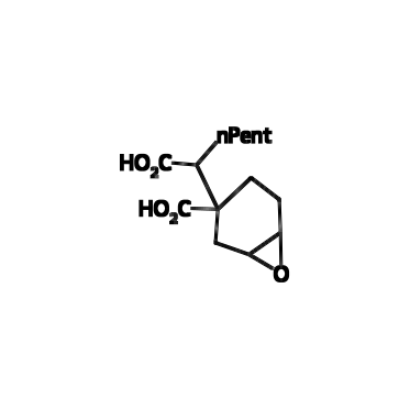 CCCCCC(C(=O)O)C1(C(=O)O)CCC2OC2C1